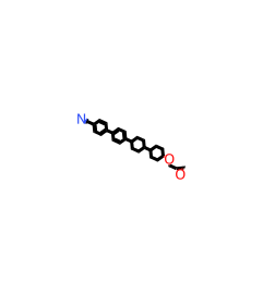 N#Cc1ccc(-c2ccc(C3CCC(C4CCC(OCC5CO5)CC4)CC3)cc2)cc1